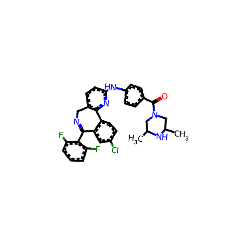 CC1CN(C(=O)c2ccc(Nc3ccc4c(n3)-c3ccc(Cl)cc3C(c3c(F)cccc3F)=NC4)cc2)CC(C)N1